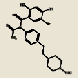 CC(C)c1cc(C(=N)N(C(N)=O)c2ccc(CCC3CCN(C=O)CC3)cc2)c(O)cc1O